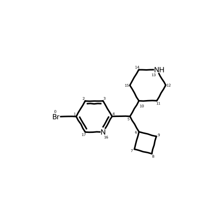 Brc1ccc(C(C2CCC2)C2CCNCC2)nc1